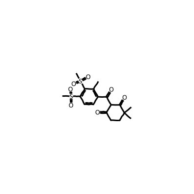 Cc1c(C(=O)C2C(=O)CCC(C)(C)C2=O)ccc(S(C)(=O)=O)c1S(C)(=O)=O